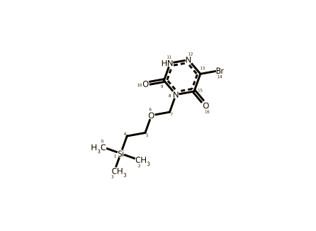 C[Si](C)(C)CCOCn1c(=O)[nH]nc(Br)c1=O